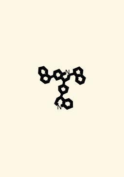 c1ccc2c(-c3ccc4nc(-c5cccc6ccccc56)cc(-c5ccc(-c6ccnc7ccccc67)cc5)c4c3)cccc2c1